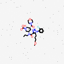 CCCN(C(=O)c1nnn(-c2ccccc2F)c1CCCCOC)[C@H]1C[C@@H](C(=O)N2CCOCC2)CN(C(=O)O)C1